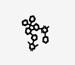 Cc1cc(-c2ccccc2)nc(-c2ccc3c(c2)-c2c(-c4cccc(-c5c(C)cncc5C)c4)cccc2C3(c2ccccc2)c2ccccc2)n1